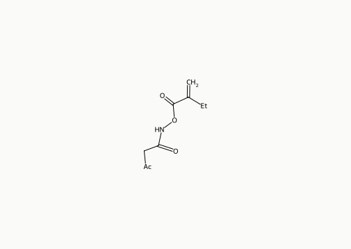 C=C(CC)C(=O)ONC(=O)CC(C)=O